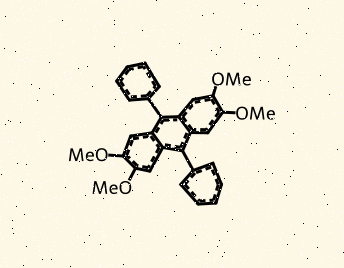 COc1cc2c(-c3ccccc3)c3cc(OC)c(OC)cc3c(-c3ccccc3)c2cc1OC